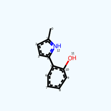 Cc1ccc(-c2ccccc2O)[nH]1